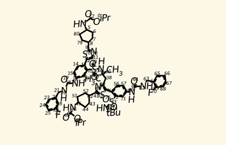 CC(C)OC(=O)NC1CCC(c2ncc(-c3ccc(NC(=O)NCc4cccc(F)c4)cc3S(=O)(=O)NC(C)(C)Cc3nc(C4CCC(NC(=O)OC(C)C)CC4)sc3-c3ccc(NC(=O)NCc4ccccc4F)cc3S(=O)(=O)NC(C)(C)C)s2)CC1